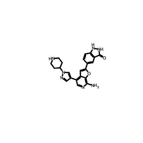 Nc1ncc(-c2cnn(C3CCNCC3)c2)c2cc(-c3ccc4[nH][nH]c(=O)c4c3)oc12